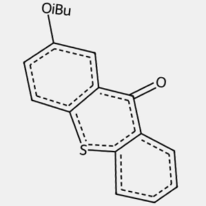 CC(C)COc1ccc2sc3ccccc3c(=O)c2c1